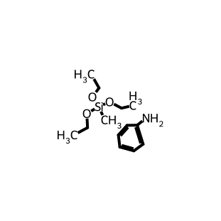 CCO[Si](C)(OCC)OCC.Nc1ccccc1